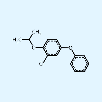 CC(C)Oc1ccc(Oc2cc[c]cc2)cc1Cl